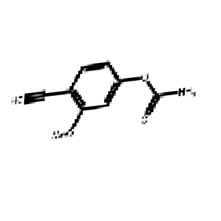 C#Cc1ccc(OC(N)=O)cc1OC